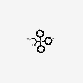 CCC(O)[P+](c1ccccc1)(c1ccccc1)c1ccccc1.[Br-]